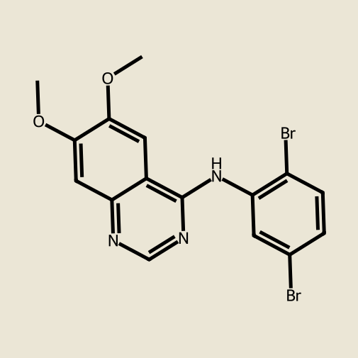 COc1cc2ncnc(Nc3cc(Br)ccc3Br)c2cc1OC